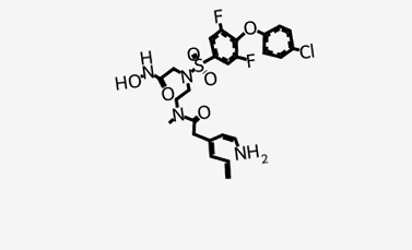 C=C/C=C(\C=C/N)CC(=O)N(C)CCN(CC(=O)NO)S(=O)(=O)c1cc(F)c(Oc2ccc(Cl)cc2)c(F)c1